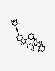 Cc1nn(C)cc1C#Cc1ccc2oc(C(C)NC(=O)c3c(N)nn4cccnc34)c(-c3ccccc3)c2c1